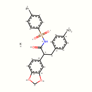 CC(C)c1ccc(S(=O)(=O)NC(=O)C(Cc2ccc([N+](=O)[O-])cc2)c2ccc3c(c2)OCO3)cc1.[K]